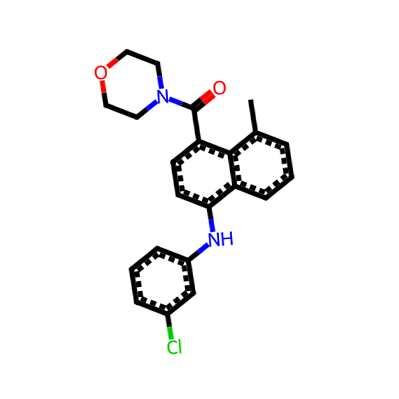 Cc1cccc2c(Nc3cccc(Cl)c3)ccc(C(=O)N3CCOCC3)c12